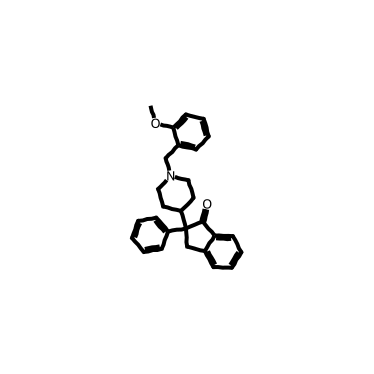 COc1ccccc1CN1CCC(C2(c3ccccc3)Cc3ccccc3C2=O)CC1